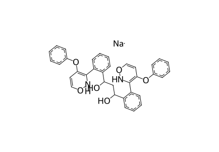 OC(CC(O)c1ccccc1C1=C(Oc2ccccc2)C=CON1)c1ccccc1C1=C(Oc2ccccc2)C=CON1.[Na]